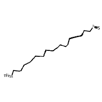 CCCCCCCCCCCCCCCCCCCCCCCP=S